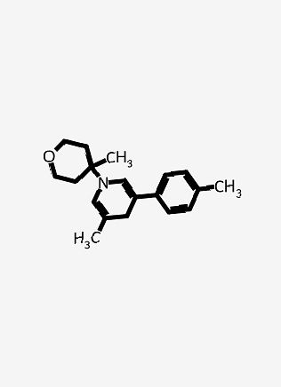 CC1=CN(C2(C)CCOCC2)C=C(c2ccc(C)cc2)C1